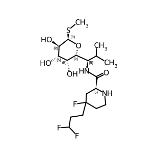 CS[C@H]1O[C@H]([C@H](NC(=O)[C@@H]2CC(F)(CCC(F)F)CCN2)C(C)C)[C@H](O)[C@H](O)[C@H]1O